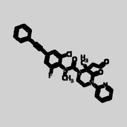 CN(C(=O)N1CCN(c2ccccn2)C(=O)C1(C)CC=O)c1c(F)cc(C#Cc2ccccc2)cc1Cl